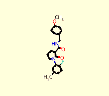 COc1ccc(CNC(=O)c2cccn(-c3cc(C)ccc3F)c2=O)cc1